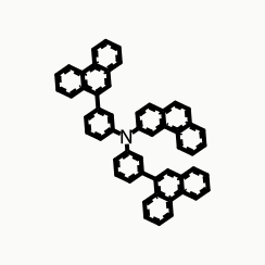 c1cc(-c2cc3ccccc3c3ccccc23)cc(N(c2cccc(-c3cc4ccccc4c4ccccc34)c2)c2ccc3ccc4ccccc4c3c2)c1